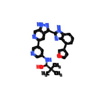 CC(C)(C)C(O)Nc1cncc(-c2cc3c(-c4nc5c(-c6ccoc6)cccc5[nH]4)n[nH]c3cn2)c1